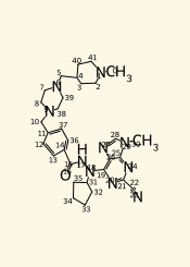 CN1CCC(CN2CCN(Cc3ccc(C(=O)NN(c4nc(C#N)nc5c4ncn5C)C4CCCC4)cc3)CC2)CC1